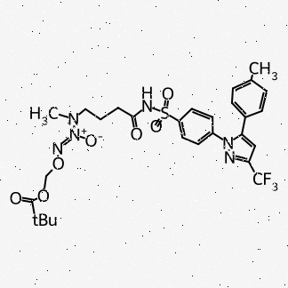 Cc1ccc(-c2cc(C(F)(F)F)nn2-c2ccc(S(=O)(=O)NC(=O)CCCN(C)/[N+]([O-])=N/OCOC(=O)C(C)(C)C)cc2)cc1